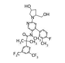 Cc1cc(-c2cc(N3CC(O)CC3CO)ncc2N(C)C(=O)C(C)(C)c2cc(C(F)(F)F)cc(C(F)(F)F)c2)ccc1F